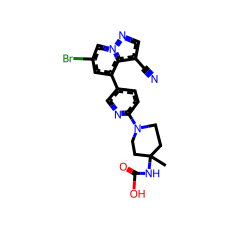 CC1(NC(=O)O)CCN(c2ccc(-c3cc(Br)cn4ncc(C#N)c34)cn2)CC1